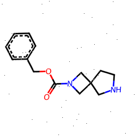 O=C(OCc1ccccc1)N1CC2(CCNC2)C1